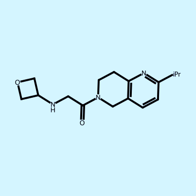 CC(C)c1ccc2c(n1)CCN(C(=O)CNC1COC1)C2